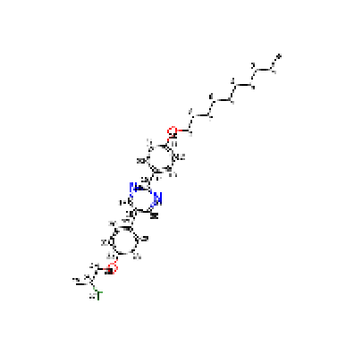 CCCCCCCCCCOc1ccc(-c2ncc(-c3ccc(OCC(C)F)cc3)cn2)cc1